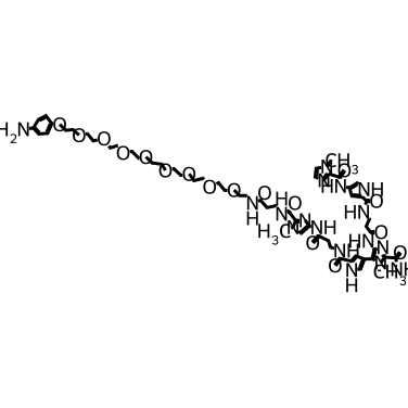 Cn1cc(NC(=O)CCNC(=O)c2cc(-c3c(NC(=O)CCNC(=O)c4cc(NC(=O)c5nccn5C)c[nH]4)nc(C(N)=O)n3C)c[nH]2)nc1C(=O)NCCC(=O)NCCOCCOCCOCCOCCOCCOCCOCCOCCOc1ccc(N)cc1